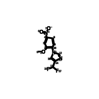 COc1cc([N+](=O)[O-])ccc1-n1cnc(C(F)F)c1